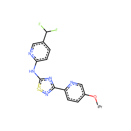 CC(C)Oc1ccc(-c2nsc(Nc3[c]cc(C(F)F)cn3)n2)nc1